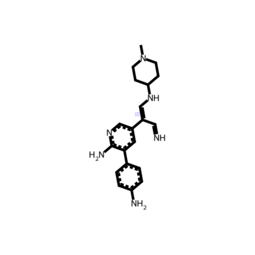 CN1CCC(N/C=C(\C=N)c2cnc(N)c(-c3ccc(N)cc3)c2)CC1